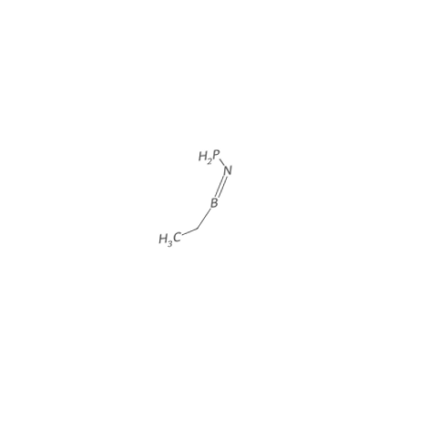 CC/B=N/P